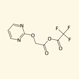 O=C(COc1ncccn1)OC(=O)C(F)(F)F